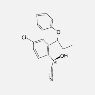 CCC(Oc1ccccc1)c1cc(Cl)ccc1[C@@H](O)C#N